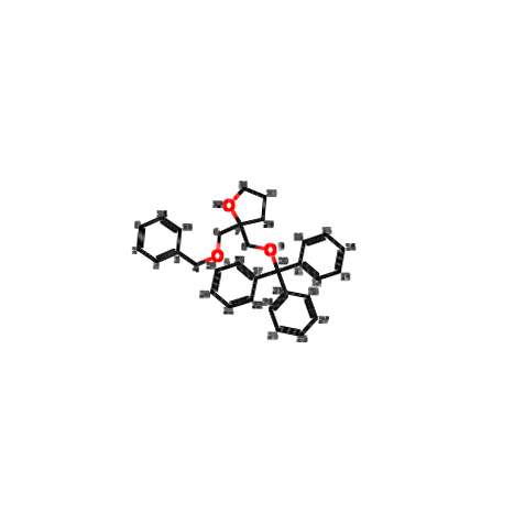 c1ccc(COCC2(COC(c3ccccc3)(c3ccccc3)c3ccccc3)CCCO2)cc1